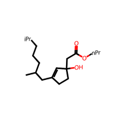 CCCOC(=O)CC1(O)C=C(CC(C)CCCC(C)C)CC1